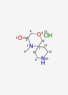 CN1C(=O)COCC12CCNCC2.Cl